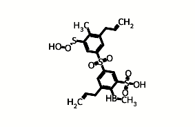 C=CCc1cc(S(=O)(=O)c2cc(CC=C)c(BC)c(S(=O)(=O)O)c2)cc(SOO)c1C